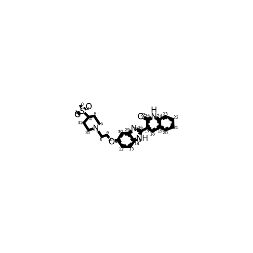 CS(=O)(=O)C1CCN(CCOc2ccc3[nH]c(-c4cc5ccccc5[nH]c4=O)nc3c2)CC1